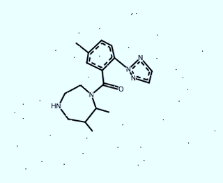 Cc1ccc(-n2nccn2)c(C(=O)N2CCNCC(C)C2C)c1